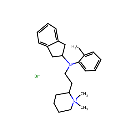 Cc1ccccc1N(CCC1CCCC[N+]1(C)C)C1Cc2ccccc2C1.[Br-]